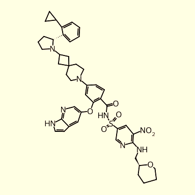 O=C(NS(=O)(=O)c1cnc(NC[C@@H]2CCCCO2)c([N+](=O)[O-])c1)c1ccc(N2CCC3(CC2)CC(N2CCC[C@@H]2c2ccccc2C2CC2)C3)cc1Oc1cnc2[nH]ccc2c1